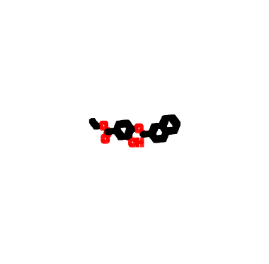 CCOC(=O)c1ccc(OCc2ccc3ccccc3c2)c(O)c1